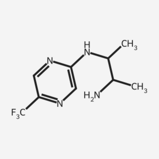 CC(N)C(C)Nc1cnc(C(F)(F)F)cn1